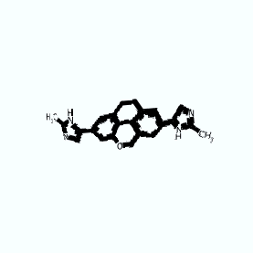 Cc1ncc(-c2cc3c4c(c2)COc2cc(-c5cnc(C)[nH]5)cc(c2-4)CC3)[nH]1